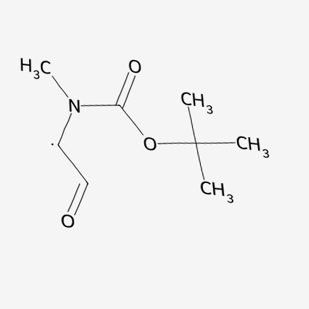 CN([CH]C=O)C(=O)OC(C)(C)C